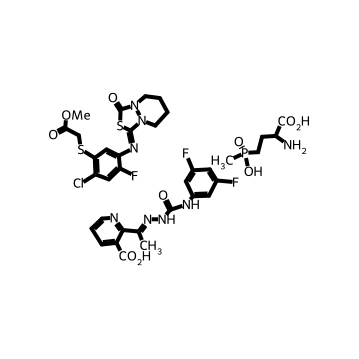 C/C(=N\NC(=O)Nc1cc(F)cc(F)c1)c1ncccc1C(=O)O.COC(=O)CSc1cc(/N=c2\sc(=O)n3n2CCCC3)c(F)cc1Cl.CP(=O)(O)CCC(N)C(=O)O